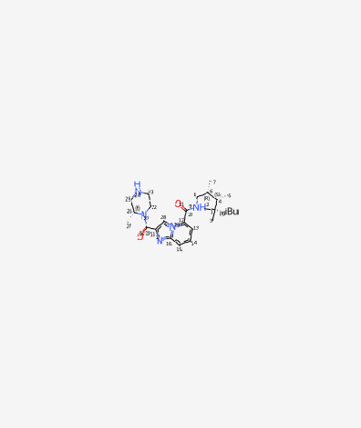 CC[C@@H](C)C(C)(C)[C@@H](C)[C@@H](C)CNC(=O)c1cccc2nc(C(=O)N3CCNC[C@H]3C)cn12